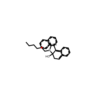 CCCCCCN(C(=O)O)C1(O)CC=c2ccccc2=C1c1cccc2ccccc12